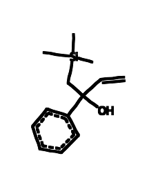 C=CC(O)(C[Si](C)(C)C)c1ccccc1